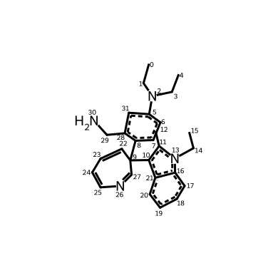 CCN(CC)c1ccc(C2(c3c(C)n(CC)c4ccccc34)C=CC=CN=C2)c(CN)c1